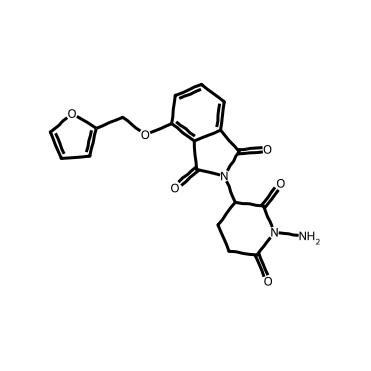 NN1C(=O)CCC(N2C(=O)c3cccc(OCc4ccco4)c3C2=O)C1=O